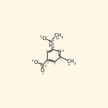 Cc1cc([N+](=O)[O-])cc([NH+](C)[O-])n1